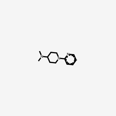 CN(C)C1CCN(c2cc[c]cn2)CC1